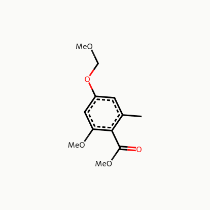 COCOc1cc(C)c(C(=O)OC)c(OC)c1